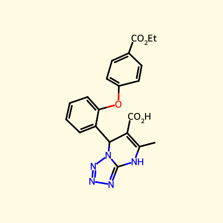 CCOC(=O)c1ccc(Oc2ccccc2C2C(C(=O)O)=C(C)Nc3nnnn32)cc1